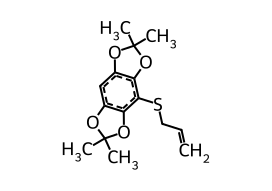 C=CCSc1c2c(cc3c1OC(C)(C)O3)OC(C)(C)O2